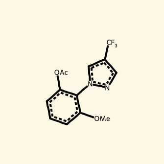 COc1cccc(OC(C)=O)c1-n1cc(C(F)(F)F)cn1